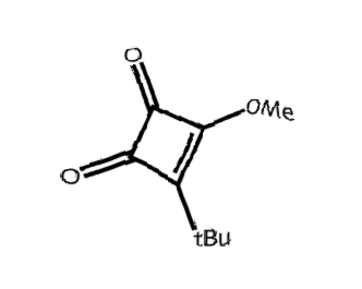 COc1c(C(C)(C)C)c(=O)c1=O